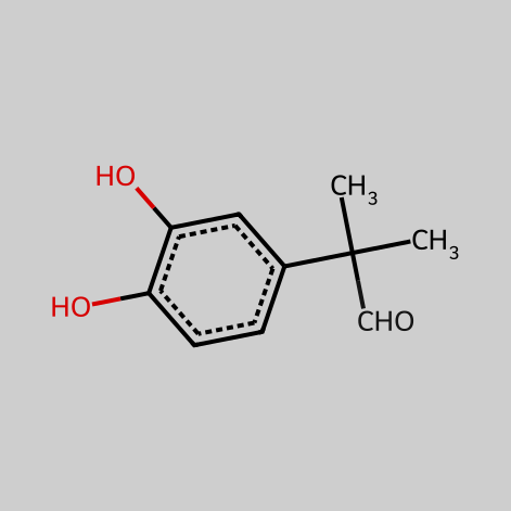 CC(C)(C=O)c1ccc(O)c(O)c1